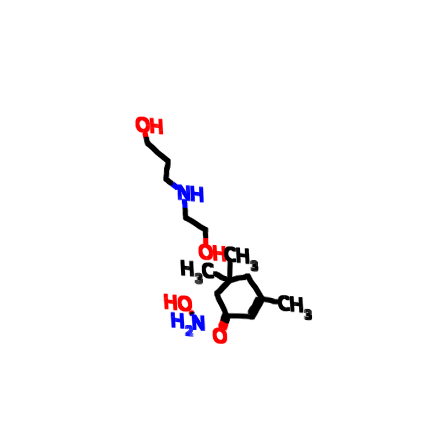 CC1=CC(=O)CC(C)(C)C1.NO.OCCCNCCO